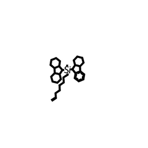 C=CCCCCCC[Si](C)(C1c2ccccc2C2CCCCC21)C1C2CCCCC2C2CCCCC21